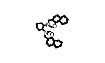 c1ccc2c3c(ccc2c1)CN(C1CCCCC1N1COc2c(ccc4ccccc24)C1)CO3